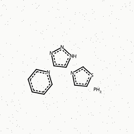 P.c1c[nH]nn1.c1ccncc1.c1cscn1